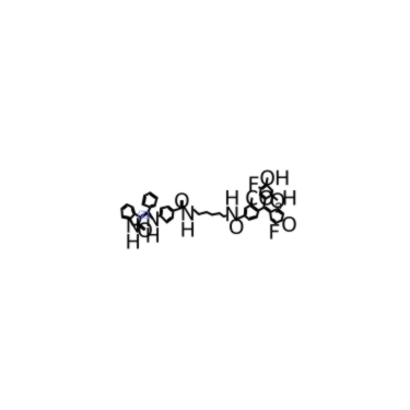 O=C1Nc2ccccc2/C1=C(/Nc1ccc(C(=O)NCCCCCCNC(=O)c2ccc(-c3c4cc(F)c(=O)cc-4oc4cc(O)c(F)cc34)c(C(=O)O)c2)cc1)c1ccccc1